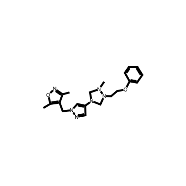 Cc1noc(C)c1Cn1cc(N2CN(C)N(CCOc3ccccc3)C2)cn1